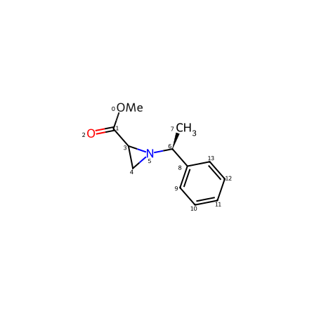 COC(=O)C1CN1[C@@H](C)c1ccccc1